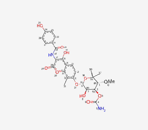 CO[C@@H]1[C@@H](OC(N)=O)[C@@H](O)[C@H](Oc2ccc3c(O)c(NC(=O)c4ccc(O)cc4)c(=O)oc3c2C)OC1(C)C